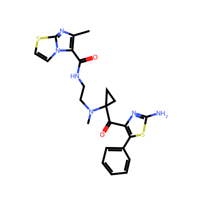 Cc1nc2sccn2c1C(=O)NCCN(C)C1(C(=O)c2nc(N)sc2-c2ccccc2)CC1